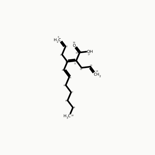 C=CCC(C=CCCCCC)=C(CC=C)C(=O)O